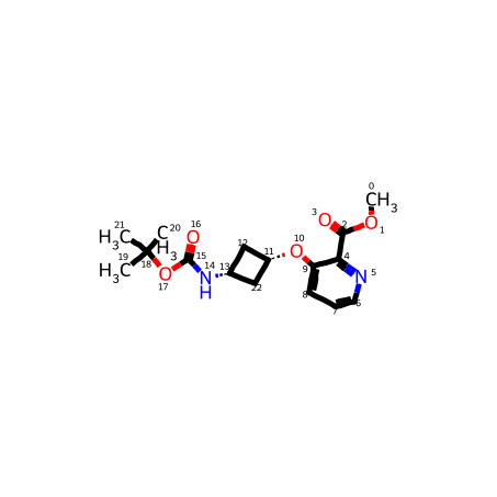 COC(=O)c1ncccc1O[C@H]1C[C@@H](NC(=O)OC(C)(C)C)C1